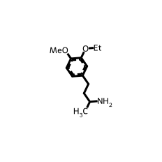 CCOc1cc(CCC(C)N)ccc1OC